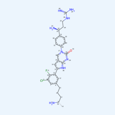 C[C@H](N)CCCc1cc(Cl)c(F)c(-c2cc3cn(-c4ccc([C@@H](N)CCNC(=N)N)cc4)c(=O)nc3[nH]2)c1